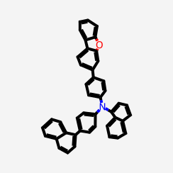 c1ccc2c(-c3ccc(N(c4ccc(-c5ccc6c(c5)oc5ccccc56)cc4)c4cccc5ccccc45)cc3)cccc2c1